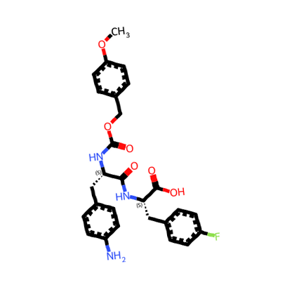 COc1ccc(COC(=O)N[C@@H](Cc2ccc(N)cc2)C(=O)N[C@@H](Cc2ccc(F)cc2)C(=O)O)cc1